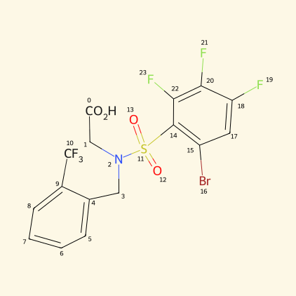 O=C(O)CN(Cc1ccccc1C(F)(F)F)S(=O)(=O)c1c(Br)cc(F)c(F)c1F